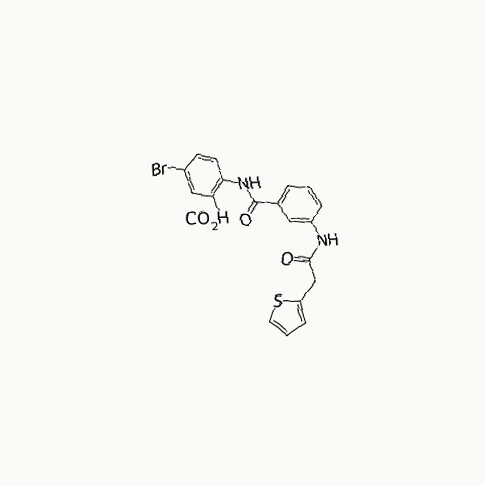 O=C(Cc1cccs1)Nc1cccc(C(=O)Nc2ccc(Br)cc2C(=O)O)c1